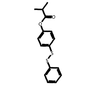 CC(C)C(=O)Oc1ccc(SSc2ccccc2)cc1